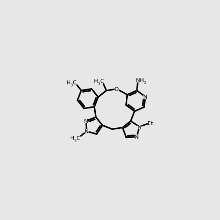 CCn1ncc2c1-c1cnc(N)c(c1)OC(C)c1cc(C)ccc1-c1nn(C)cc1C2